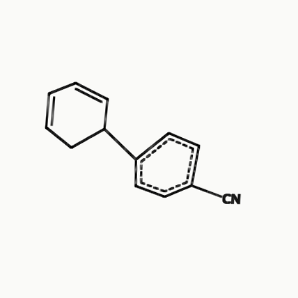 N#Cc1ccc(C2C=CC=CC2)cc1